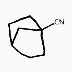 N#CC12CC[C](CC1)C2